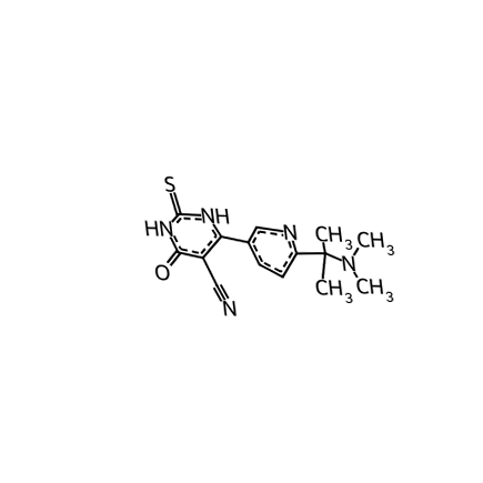 CN(C)C(C)(C)c1ccc(-c2[nH]c(=S)[nH]c(=O)c2C#N)cn1